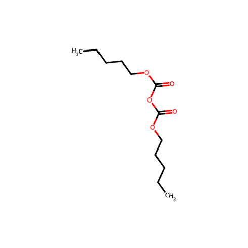 CCCCCOC(=O)OC(=O)OCCCCC